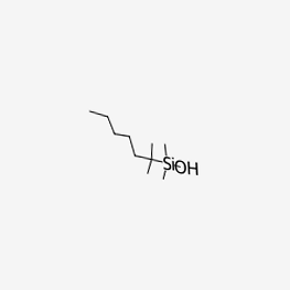 CCCCCC(C)(C)[Si](C)(C)O